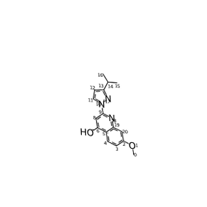 COc1ccc2c(O)cc(-n3ccc(C(C)C)n3)nc2c1